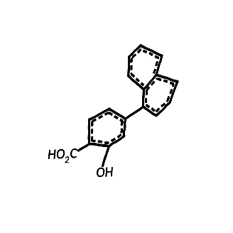 O=C(O)c1ccc(-c2cccc3ccccc23)cc1O